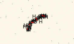 CN(CC(=O)Nc1nnc(-c2ccccn2)[nH]1)Cc1ccc(NC(=O)c2ccc(OCC(=O)Nc3nnc(-c4ccccn4)[nH]3)cc2)cc1